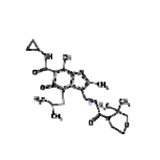 Cc1nn2c(O)c(C(=O)NC3CC3)c(=O)n(CC(C)C)c2c1/C=C/C(=O)N1CCOCC1(C)C